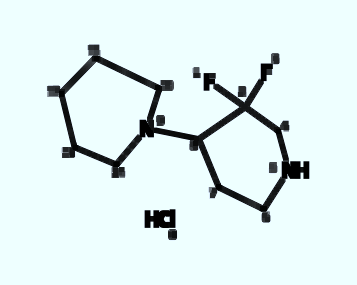 Cl.FC1(F)CNCCC1N1CCCCC1